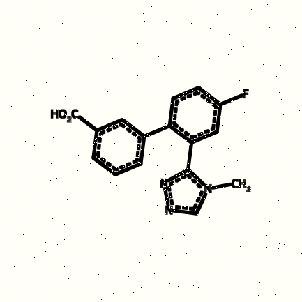 Cn1cnnc1-c1cc(F)ccc1-c1cccc(C(=O)O)c1